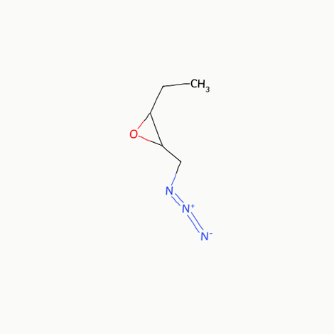 CCC1OC1CN=[N+]=[N-]